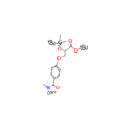 CON(C)C(=O)c1ccc(OCC(O[Si](C)(C)C(C)(C)C)C(=O)OC(C)(C)C)cc1